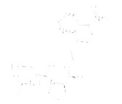 CC(=O)NC(CO)C(=O)N1CCC[C@H]1C(=O)OCOc1ccc([N+](=O)[O-])c2cccnc12